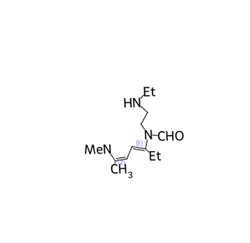 CCNCCN(C=O)/C(=C/C=C(/C)NC)CC